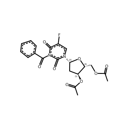 CC(=O)OC[C@H]1O[C@@H](n2cc(F)c(=O)n(C(=O)c3ccccc3)c2=O)C[C@@H]1OC(C)=O